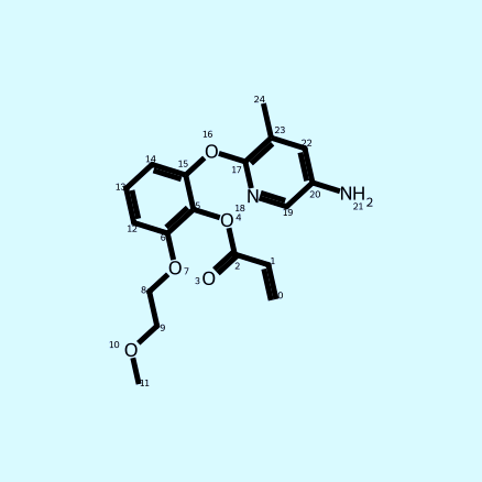 C=CC(=O)Oc1c(OCCOC)cccc1Oc1ncc(N)cc1C